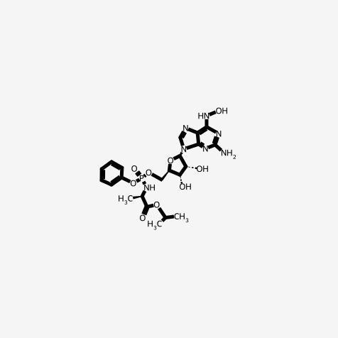 CC(C)OC(=O)[C@@H](C)NP(=O)(OC[C@H]1O[C@@H](n2cnc3c(NO)nc(N)nc32)[C@H](O)[C@@H]1O)Oc1ccccc1